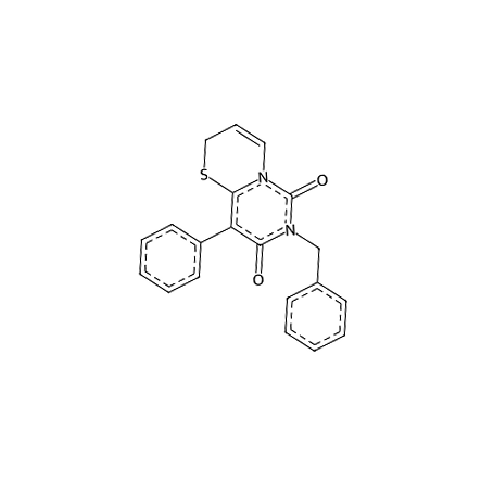 O=c1c(-c2ccccc2)c2n(c(=O)n1Cc1ccccc1)C=CCS2